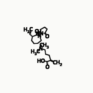 C=C(CCCN(C)C)C(=O)O.C=CC1CCCCNC1=O.O=C1CCCN1